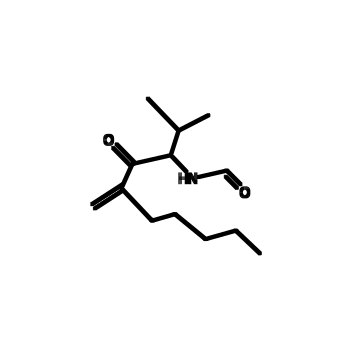 C=C(CCCCC)C(=O)C(NC=O)C(C)C